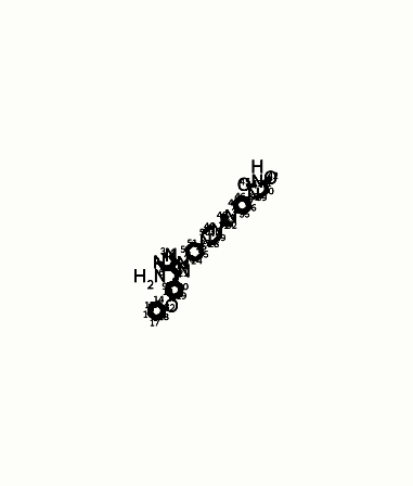 Nc1ncnc2c1c(-c1ccc(Oc3ccccc3)cc1)nn2C1CCC(N2CCN(C3CN(c4ccc(N5CCC(=O)NC5=O)cc4)C3)CC2)CC1